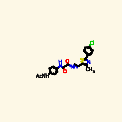 CC(=O)Nc1ccc(NC(=O)C(=O)NCCc2sc(-c3ccc(Cl)cc3)nc2C)cc1